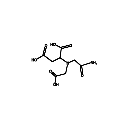 NC(=O)CN(CC(=O)O)C(CC(=O)O)C(=O)O